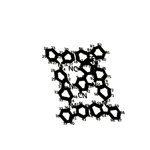 N#Cc1cc(C(F)(F)F)ccc1-c1cc(-n2c3cc(-n4c5ccccc5c5ccccc54)ccc3c3ccc(-n4c5ccccc5c5ccccc54)cc32)c(C#N)cc1-n1c2cc(-n3c4ccccc4c4ccccc43)ccc2c2ccc(-n3c4ccccc4c4ccccc43)cc21